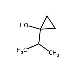 CC(C)C1(O)CC1